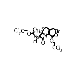 O=C(N[C@@H]1C(=O)N2C(C(=O)OCC(Cl)(Cl)Cl)=C(CBr)CS[C@H]12)OCC(Cl)(Cl)Cl